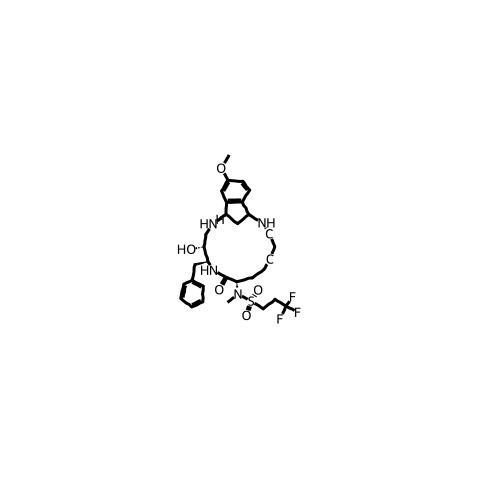 COc1ccc2c(c1)[C@@H]1CC2NCCCCC[C@H](N(C)S(=O)(=O)CCC(F)(F)F)C(=O)N[C@@H](Cc2ccccc2)[C@H](O)CN1